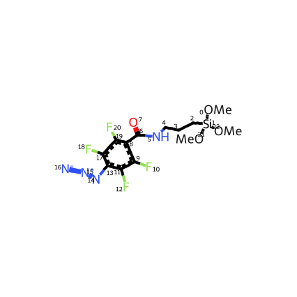 CO[Si](CCCNC(=O)c1c(F)c(F)c(N=[N+]=[N-])c(F)c1F)(OC)OC